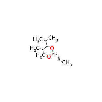 C/C=C/C(=O)OC(C(C)C)C(C)C